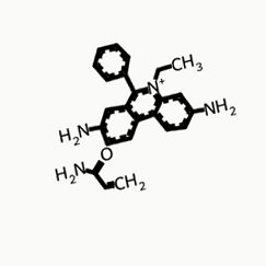 C=CC(N)=O.CC[n+]1c(-c2ccccc2)c2cc(N)ccc2c2ccc(N)cc21